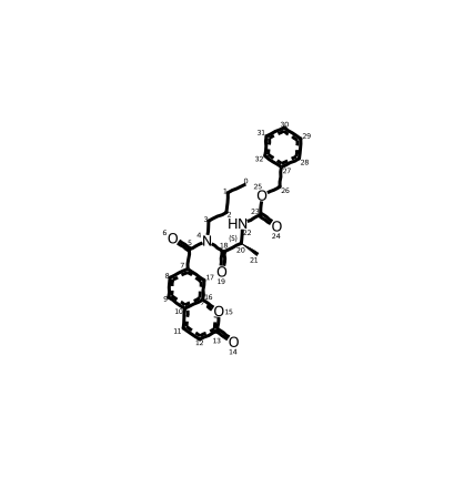 CCCCN(C(=O)c1ccc2ccc(=O)oc2c1)C(=O)[C@H](C)NC(=O)OCc1ccccc1